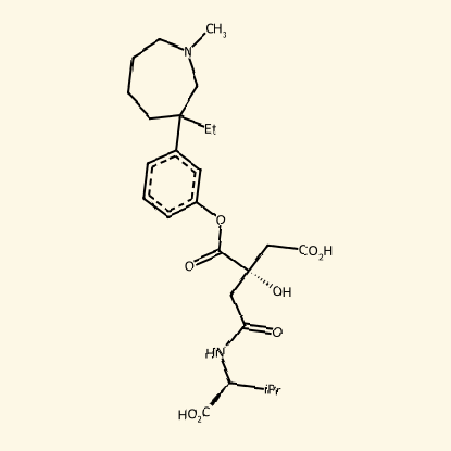 CCC1(c2cccc(OC(=O)[C@@](O)(CC(=O)O)CC(=O)N[C@H](C(=O)O)C(C)C)c2)CCCCN(C)C1